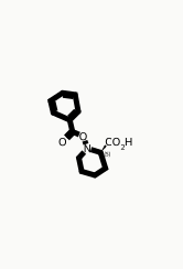 O=C(ON1CCCC[C@H]1C(=O)O)c1ccccc1